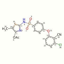 CC(=O)Oc1nc(NS(=O)(=O)c2ccc(Oc3cccc(Cl)c3C#N)cc2)sc1C